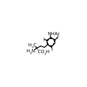 CC(=O)Nc1c(I)cc(I)c(CC[C@](C)(N)C(=O)O)c1I